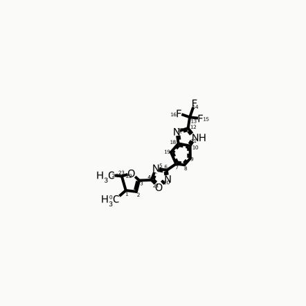 CC1C=C(c2nc(-c3ccc4[nH]c(C(F)(F)F)nc4c3)no2)OC1C